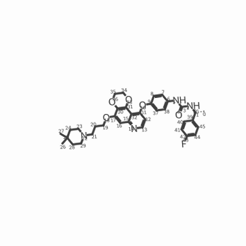 C[C@@H](NC(=O)Nc1ccc(Oc2ccnc3cc(OCCCN4CCC(C)(C)CC4)c4c(c23)OCCO4)cc1)c1ccc(F)cc1